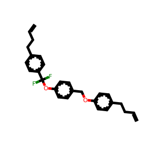 C=CCCc1ccc(OCc2ccc(OC(F)(F)c3ccc(CCC=C)cc3)cc2)cc1